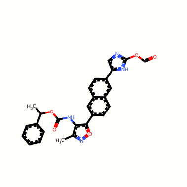 Cc1noc(-c2ccc3cc(-c4cnc(OC=O)[nH]4)ccc3c2)c1NC(=O)OC(C)c1ccccc1